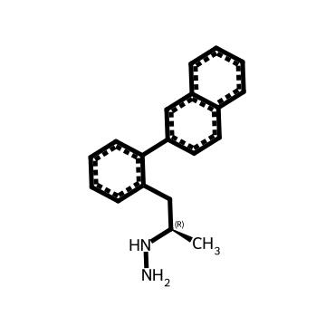 C[C@H](Cc1ccccc1-c1ccc2ccccc2c1)NN